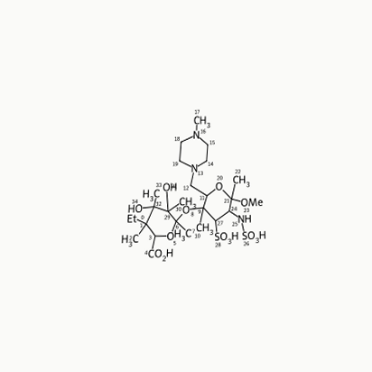 CCC1(C)C(C(=O)O)OC(C)(OC2(C)C(CN3CCN(C)CC3)OC(C)(OC)C(NS(=O)(=O)O)C2S(=O)(=O)O)C(C)(O)C1(C)O